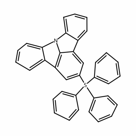 c1ccc(S(c2ccccc2)(c2ccccc2)c2cc3c4ccccc4n4c5ccccc5c(c2)c34)cc1